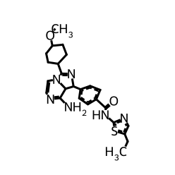 CCc1cnc(NC(=O)c2ccc(C3N=C(C4CCC(OC)CC4)N4C=CN=C(N)C34)cc2)s1